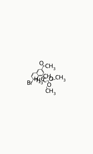 C=C.CC(=O)c1ccc2cc(Br)ccc2c1.CCOC(C)OCC